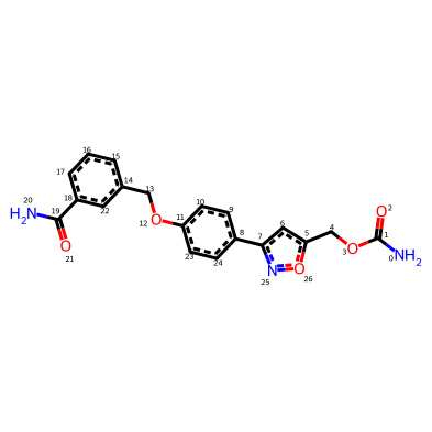 NC(=O)OCc1cc(-c2ccc(OCc3cccc(C(N)=O)c3)cc2)no1